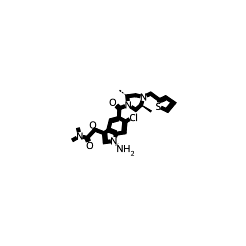 C[C@@H]1CN(Cc2cccs2)[C@@H](C)CN1C(=O)c1cc2c(C(=O)C(=O)N(C)C)cn(N)c2cc1Cl